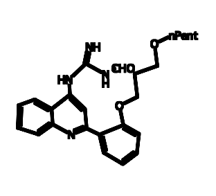 CCCCCOCCCOc1ccccc1-c1cc(NC(=N)NC=O)c2ccccc2n1